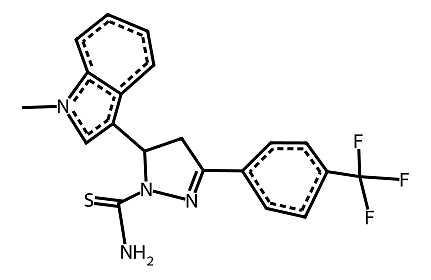 Cn1cc(C2CC(c3ccc(C(F)(F)F)cc3)=NN2C(N)=S)c2ccccc21